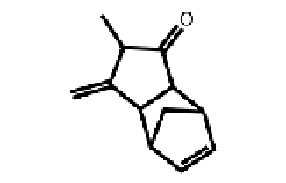 C=C1C(C)C(=O)C2C3C=CC(C3)C12